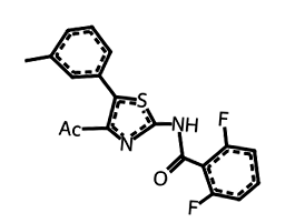 CC(=O)c1nc(NC(=O)c2c(F)cccc2F)sc1-c1cccc(C)c1